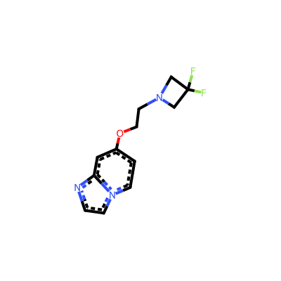 FC1(F)CN(CCOc2ccn3ccnc3c2)C1